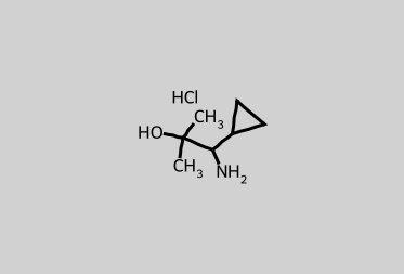 CC(C)(O)C(N)C1CC1.Cl